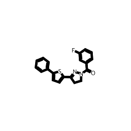 O=C(c1cccc(F)c1)N1CCC(c2ccc(-c3ccccc3)s2)=N1